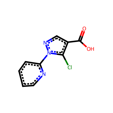 O=C(O)c1cnn(-c2ccccn2)c1Cl